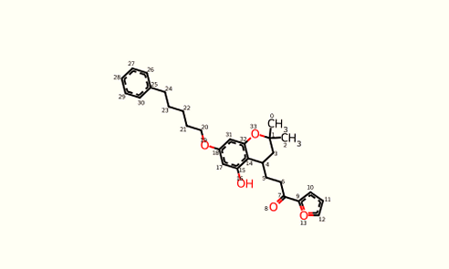 CC1(C)CC(CCC(=O)c2ccco2)c2c(O)cc(OCCCCCc3ccccc3)cc2O1